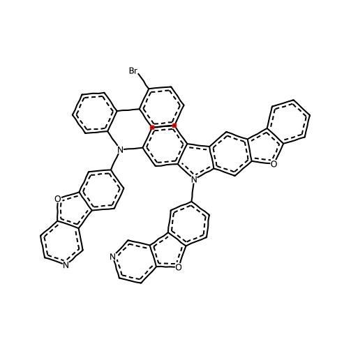 Brc1ccccc1-c1ccccc1N(c1ccc2c(c1)oc1ccncc12)c1ccc2c3cc4c(cc3n(-c3ccc5oc6ccncc6c5c3)c2c1)oc1ccccc14